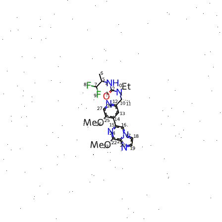 CCN(C(=O)NC(C)C(F)F)[C@H](C)c1cc(-c2cn3ccnc3c(OC)n2)c(OC)cn1